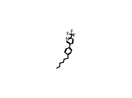 CCCCCCc1ccc(-c2ccc(C(F)(F)F)nc2)cc1